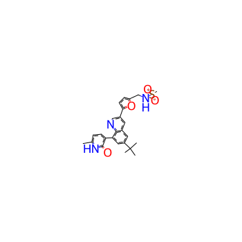 Cc1ccc(-c2cc(C(C)(C)C)cc3cc(-c4ccc(CNS(C)(=O)=O)o4)cnc23)c(=O)[nH]1